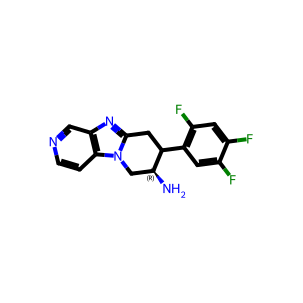 N[C@H]1Cn2c(nc3cnccc32)CC1c1cc(F)c(F)cc1F